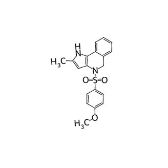 COc1ccc(S(=O)(=O)N2Cc3ccccc3-c3[nH]c(C)cc32)cc1